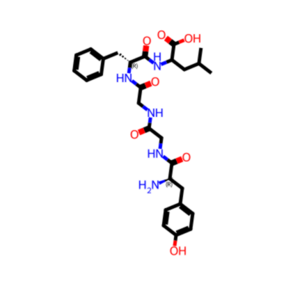 CC(C)CC(NC(=O)[C@@H](Cc1ccccc1)NC(=O)CNC(=O)CNC(=O)[C@H](N)Cc1ccc(O)cc1)C(=O)O